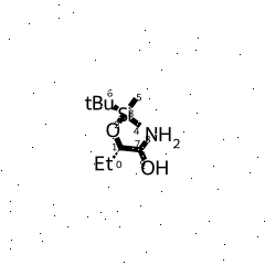 CC[C@H](O[Si](C)(C)C(C)(C)C)C(N)O